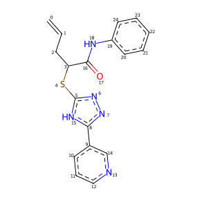 C=CCC(Sc1nnc(-c2cccnc2)[nH]1)C(=O)Nc1ccccc1